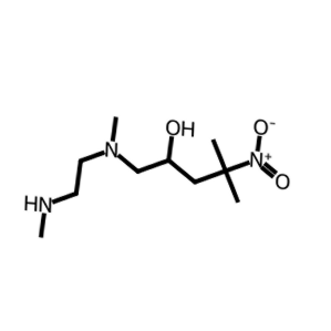 CNCCN(C)CC(O)CC(C)(C)[N+](=O)[O-]